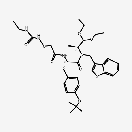 CCNC(=O)NOCC(=O)N[C@@H](Cc1ccc(OC(C)(C)C)cc1)C(=O)N(Cc1csc2ccccc12)[C@@H](C)C(OCC)OCC